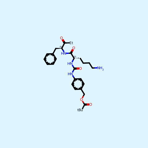 CCC(=O)[C@H](Cc1ccccc1)NC(=O)[C@H](CCCCN)NC(=O)Nc1ccc(COC(=O)C(C)(C)C)cc1